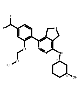 COCOc1cc(C(F)F)ccc1-c1nnc(N[C@@H]2CCC[C@H](O)C2)c2c1COC2